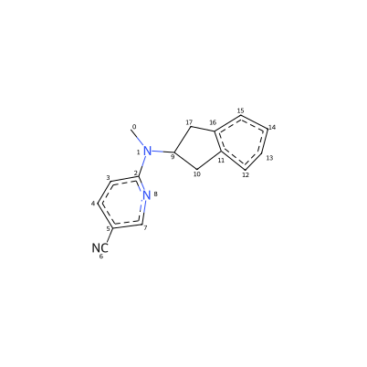 CN(c1ccc(C#N)cn1)C1Cc2ccccc2C1